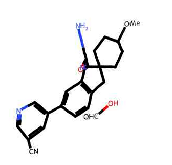 COC1CCC2(CC1)Cc1ccc(-c3cncc(C#N)c3)cc1[C@@]21COC(N)=N1.O=CO